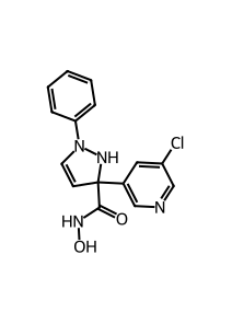 O=C(NO)C1(c2cncc(Cl)c2)C=CN(c2ccccc2)N1